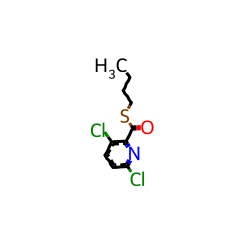 CCCCSC(=O)c1nc(Cl)ccc1Cl